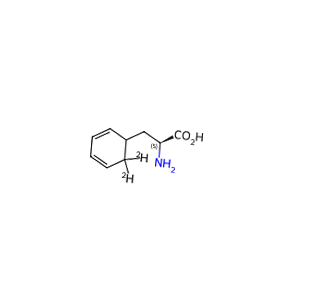 [2H]C1([2H])C=CC=CC1C[C@H](N)C(=O)O